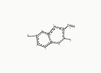 COc1nc2cc(C)ccc2cc1C